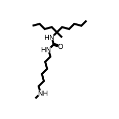 CCCCCC(C)(CCCC)NC(=O)NCCCCCCNC